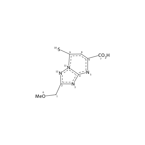 COCc1nc2nc(C(=O)O)cc([S])n2n1